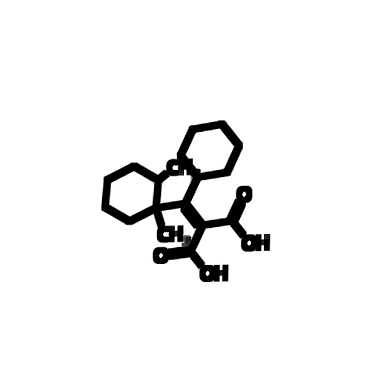 CC1CCCCC1(C)C(=C(C(=O)O)C(=O)O)C1CCCCC1